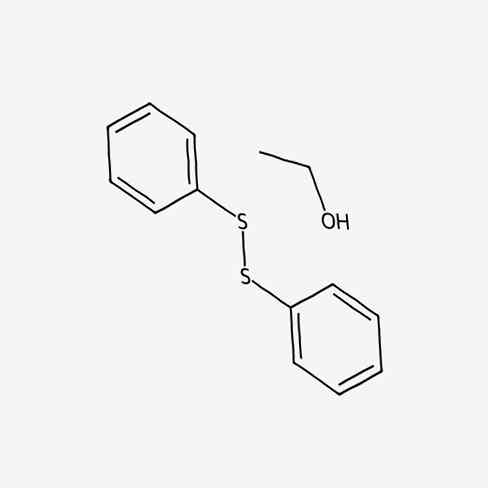 CCO.c1ccc(SSc2ccccc2)cc1